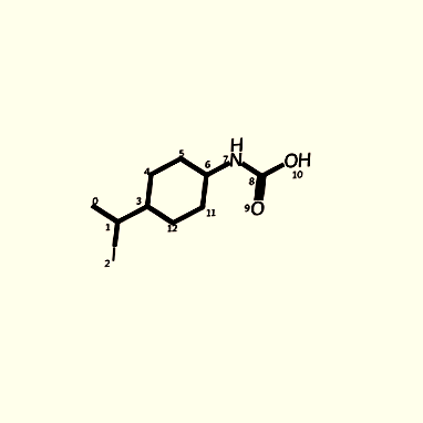 CC(I)C1CCC(NC(=O)O)CC1